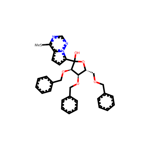 CSc1ncnn2c(C3(O)O[C@H](COCc4ccccc4)[C@@H](OCc4ccccc4)[C@H]3OCc3ccccc3)ccc12